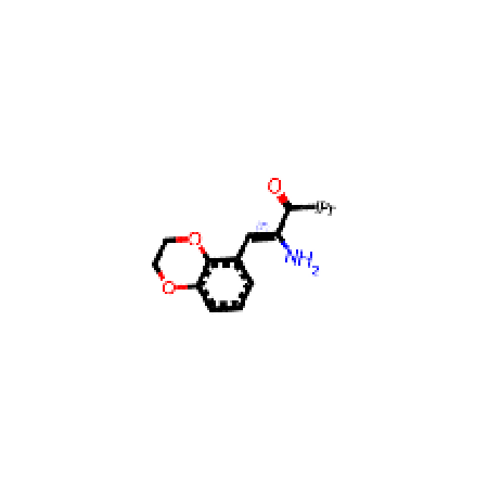 CC(C)C(=O)/C(N)=C/c1cccc2c1OCCO2